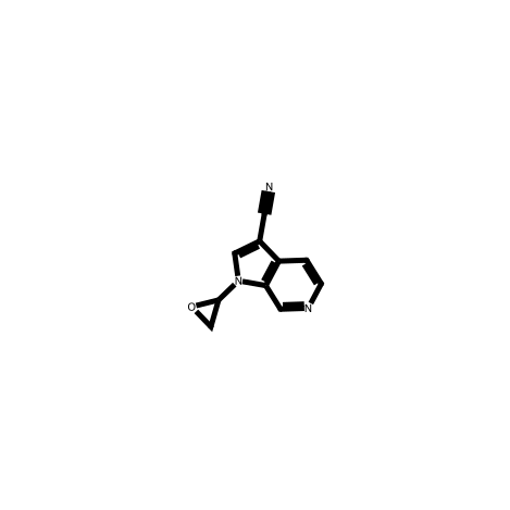 N#Cc1cn(C2CO2)c2cnccc12